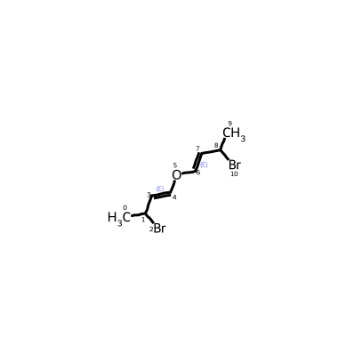 CC(Br)/C=C/O/C=C/C(C)Br